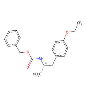 O=C(N[C@H](Cc1ccc(OCC(F)(F)F)cc1)C(=O)O)OCc1ccccc1